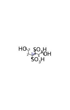 O=S(=O)(O)/C(CCO)=C(\CCO)S(=O)(=O)O